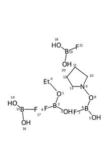 CCOB(O)F.OB(F)ON1CCCC1.OB(O)F.OB(O)F